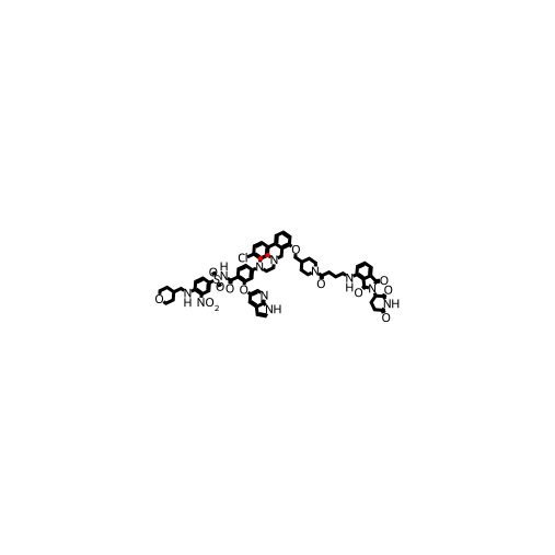 O=C1CCC(N2C(=O)c3cccc(NCCCC(=O)N4CCC(COc5cccc(-c6ccc(Cl)cc6)c5CN5CCN(c6ccc(C(=O)NS(=O)(=O)c7ccc(NCC8CCOCC8)c([N+](=O)[O-])c7)c(Oc7cnc8[nH]ccc8c7)c6)CC5)CC4)c3C2=O)C(=O)N1